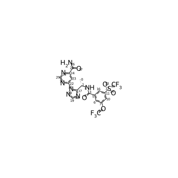 C[C@H](NC(=O)c1cc(OC(F)(F)F)cc(S(=O)(=O)C(F)(F)F)c1)c1ncnn1-c1cc(C(N)=O)ncn1